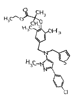 CCOC(=O)C(C)(C)Oc1c(C)cc(CN(Cc2ccsc2)c2cc(-c3ccc(Cl)cc3)nn2C)cc1C